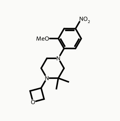 COc1cc([N+](=O)[O-])ccc1N1CCN(C2COC2)C(C)(C)C1